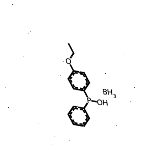 B.CCOc1ccc(P(O)c2ccccc2)cc1